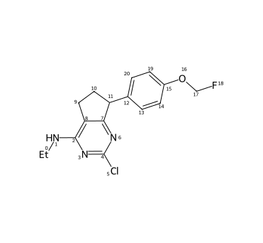 CCNc1nc(Cl)nc2c1CCC2c1ccc(OCF)cc1